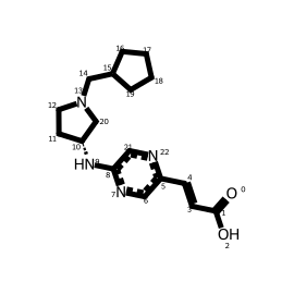 O=C(O)/C=C/c1cnc(N[C@@H]2CCN(CC3CCCC3)C2)cn1